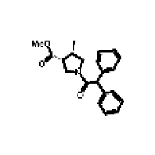 COC(=O)[C@H]1CN(C(=O)C(c2ccccc2)c2ccccc2)C[C@@H]1C